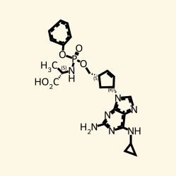 C[C@H](NP(=O)(OC[C@@H]1C=C[C@H](n2cnc3c(NC4CC4)nc(N)nc32)C1)Oc1ccccc1)C(=O)O